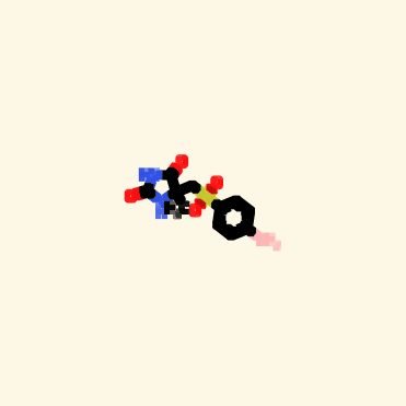 Bc1ccc(S(=O)(=O)CC2(C)NC(=O)NC2=O)cc1